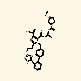 C=C(O)c1nc(CCC)n(Cc2ccc(-c3ccccc3-c3nnn[nH]3)cc2)c1C(=O)OC(C)OC(=O)[C@H]1CC[C@@H](OC)C1